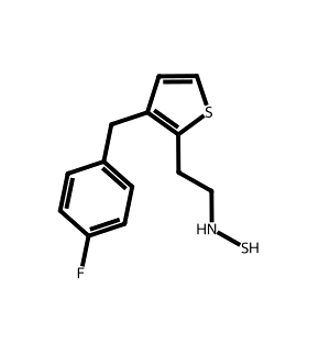 Fc1ccc(Cc2ccsc2CCNS)cc1